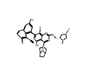 C#Cc1c(F)ccc2cc(N)cc(-c3nc(O)c4c(N5CC6CCC(C5)N6)nc(OC[C@@H]5C[C@@H](F)CN5C)nc4c3F)c12